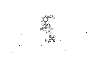 CS(=O)(=O)OCC1CCC(CF)(S(=O)(=O)c2cccc(C(F)(F)F)c2)CC1